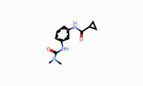 CN(C)C(=O)Nc1cccc(NC(=O)C2CC2)c1